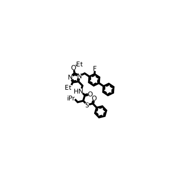 CCOc1nc(CC)c(CNC(=O)C(CC(C)C)SC(=O)c2ccccc2)n1Cc1ccc(-c2ccccc2)cc1F